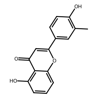 Cc1cc(-c2cc(=O)c3c(O)cccc3o2)ccc1O